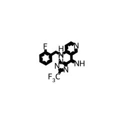 N=C(c1nc(C(F)(F)F)n[nH]1)c1cnccc1NCc1ccccc1F